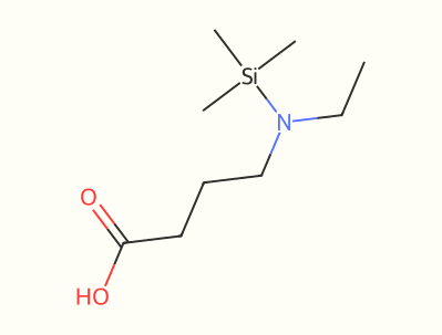 CCN(CCCC(=O)O)[Si](C)(C)C